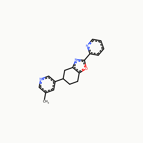 Cc1cncc(C2CCc3oc(-c4ccccn4)nc3C2)c1